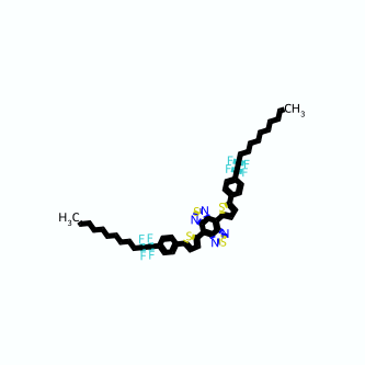 CCCCCCCCCCC(F)(F)C(F)(F)c1ccc(-c2ccc(-c3c4c(c(-c5ccc(-c6ccc(C(F)(F)C(F)(F)CCCCCCCCCC)cc6)s5)c5nsnc35)N=S=N4)s2)cc1